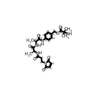 C[C@H](NC(=O)CCN1C(=O)C=CC1=O)C(=O)N[C@@H](C)C(=O)Nc1ccc(COC(=O)C(C)(C)S)cc1